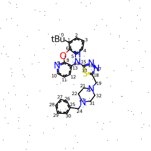 CC(C)(C)c1ccccc1Oc1ncccc1Nc1nnc(CN2CCN(Cc3ccccc3)CC2)s1